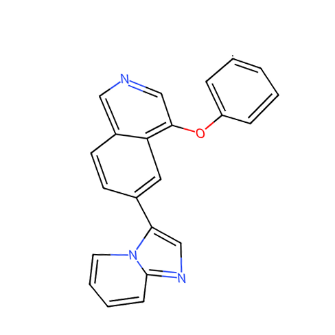 [c]1cccc(Oc2cncc3ccc(-c4cnc5ccccn45)cc23)c1